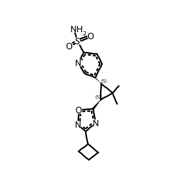 CC1(C)[C@@H](c2ccc(S(N)(=O)=O)nc2)[C@@H]1c1nc(C2CCC2)no1